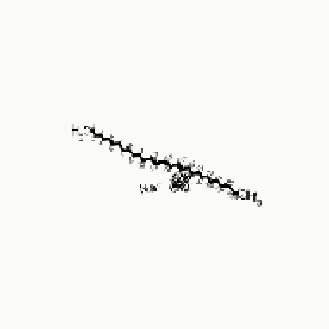 CCCCCCCCCCCCCCCCCCC(CCCCCCCCCCC)OS(=O)(=O)[O-].[Na+]